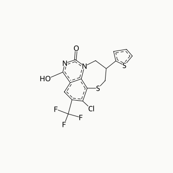 O=c1nc(O)c2cc(C(F)(F)F)c(Cl)c3c2n1CC(c1cccs1)CS3